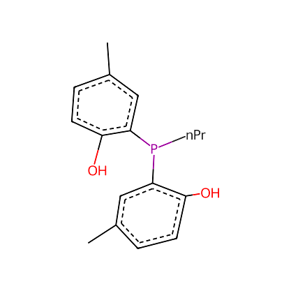 CCCP(c1cc(C)ccc1O)c1cc(C)ccc1O